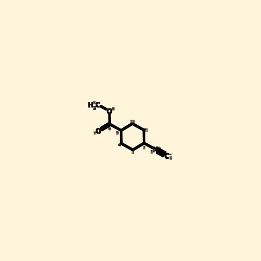 [C-]#[N+]C1CCC(C(=O)OC)CC1